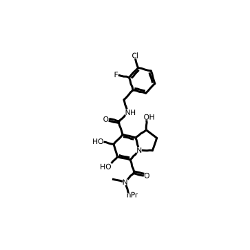 CCCN(C)C(=O)C1=C(O)C(O)C(C(=O)NCc2cccc(Cl)c2F)=C2C(O)CCN12